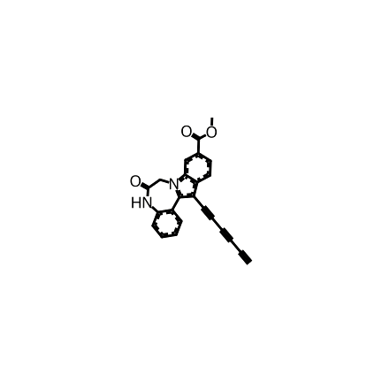 C#CC#CC#Cc1c2n(c3cc(C(=O)OC)ccc13)CC(=O)Nc1ccccc1-2